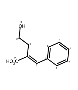 O=C(O)C(=Cc1ccccc1)CCO